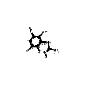 CN=C(N)Nc1c(F)c(F)cc(F)c1F